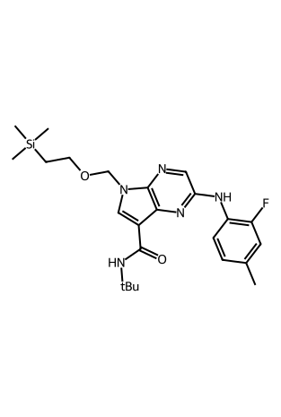 Cc1ccc(Nc2cnc3c(n2)c(C(=O)NC(C)(C)C)cn3COCC[Si](C)(C)C)c(F)c1